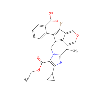 CCOC(=O)c1c(C2CC2)nc(CC)n1Cc1c2ccocc-2c(Br)c1-c1ccccc1C(=O)O